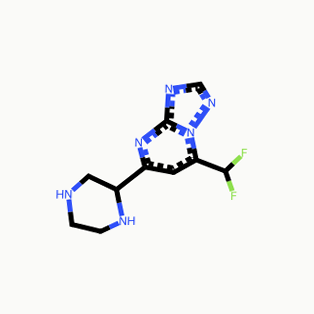 FC(F)c1cc(C2CNCCN2)nc2ncnn12